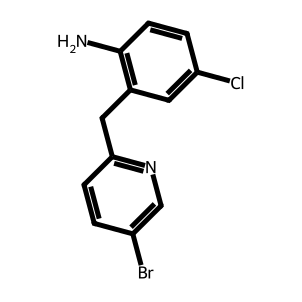 Nc1ccc(Cl)cc1Cc1ccc(Br)cn1